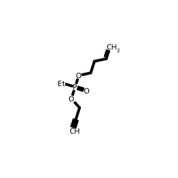 C#CCOP(=O)(CC)OCCC=C